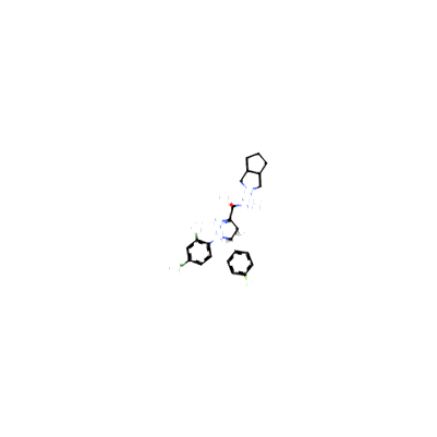 C[C@H]1C(C(=O)NN2CC3CCCC3C2)=NN(c2ccc(Cl)cc2Cl)[C@H]1c1ccc(F)cc1